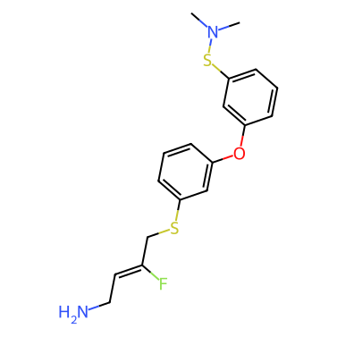 CN(C)Sc1cccc(Oc2cccc(SC/C(F)=C/CN)c2)c1